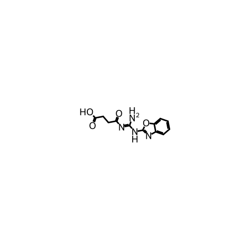 N/C(=N\C(=O)CCC(=O)O)Nc1nc2ccccc2o1